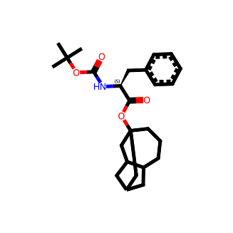 CC(C)(C)OC(=O)N[C@@H](Cc1ccccc1)C(=O)OC12CCCC3CC(CC3C1)C2